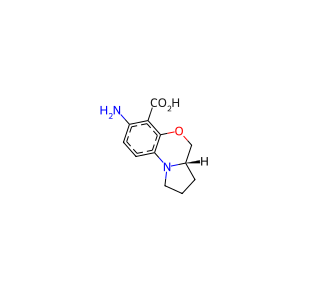 Nc1ccc2c(c1C(=O)O)OC[C@@H]1CCCN21